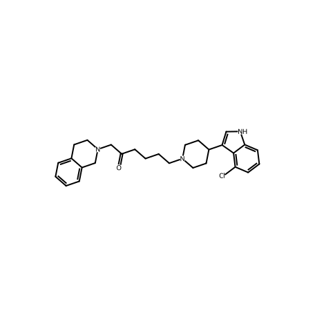 O=C(CCCCN1CCC(c2c[nH]c3cccc(Cl)c23)CC1)CN1CCc2ccccc2C1